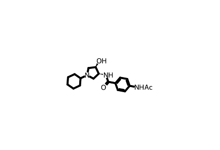 CC(=O)Nc1ccc(C(=O)N[C@@H]2CN(C3CCCCC3)C[C@H]2O)cc1